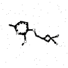 COc1nc(C)ccc1OCC1CC(F)(F)C1